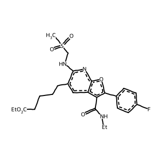 CCNC(=O)c1c(-c2ccc(F)cc2)oc2nc(NCS(C)(=O)=O)c(CCCCC(=O)OCC)cc12